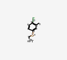 Cc1cc(SCC(C)C)ccc1F